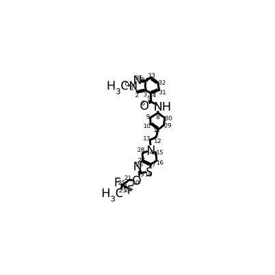 Cn1cc2c(C(=O)NC3CC=C(CCN4CCc5sc(OCC(C)(F)F)nc5C4)CC3)cccc2n1